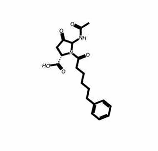 CC(=O)NC1C(=O)C[C@@H](C(=O)O)N1C(=O)CCCCCc1ccccc1